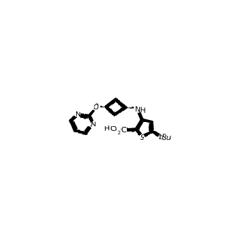 CC(C)(C)c1cc(N[C@H]2C[C@@H](Oc3ncccn3)C2)c(C(=O)O)s1